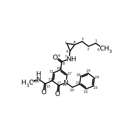 CCCCC1CC1NC(=O)c1cc(C(=O)NC)c(=O)n(Cc2ccccc2)c1